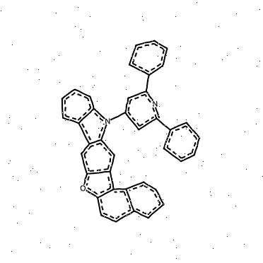 c1ccc(-c2cc(-n3c4ccccc4c4cc5oc6ccc7ccccc7c6c5cc43)cc(-c3ccccc3)n2)cc1